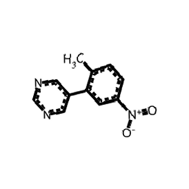 Cc1ccc([N+](=O)[O-])cc1-c1cncnc1